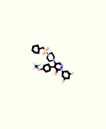 O=c1c(-c2ccc(OC(F)(F)F)cc2)c(N2CCN(S(=O)(=O)Cc3ccccc3)CC2)cnn1-c1cc(F)cc(F)c1